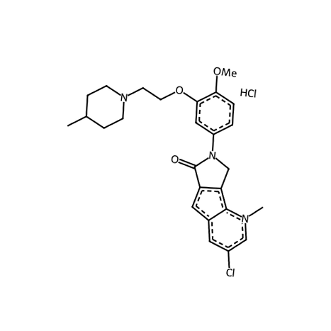 COc1ccc(N2Cc3c(cc4cc(Cl)cn(C)c3-4)C2=O)cc1OCCN1CCC(C)CC1.Cl